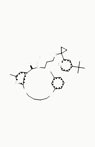 Cc1cc2cc(n1)OCCCCOc1cccc(c1)C[C@@H]([C@H](O)CNC1(c3cc(C(C)(C)C)ccn3)CC1)NC2=O